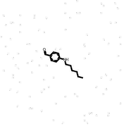 CCCCCCNc1ccc(C=O)cc1